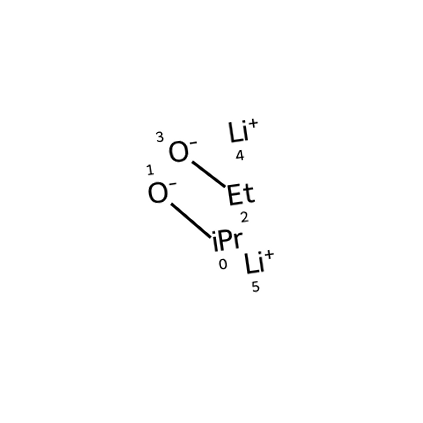 CC(C)[O-].CC[O-].[Li+].[Li+]